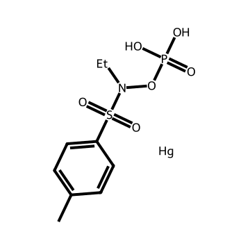 CCN(OP(=O)(O)O)S(=O)(=O)c1ccc(C)cc1.[Hg]